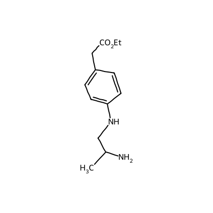 CCOC(=O)Cc1ccc(NCC(C)N)cc1